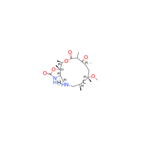 CO[C@]1(C)C[C@@H](C)CN[C@H](C)[C@H]2NC(=O)O[C@]2(C)[C@@H](C)OC(=O)C(C)C(=O)[C@H](C)C1